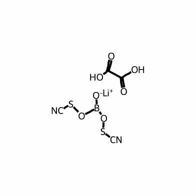 N#CSOB([O-])OSC#N.O=C(O)C(=O)O.[Li+]